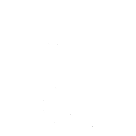 CC(C1CC1)N1Cc2cc(-c3ccn4nc(N)c(C(=O)Nc5cncc(F)c5)c4n3)cc(OC(F)(F)F)c2C1=O